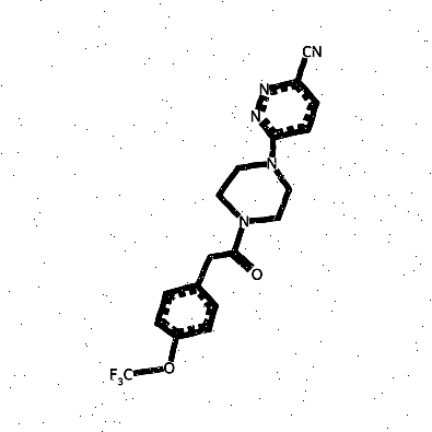 N#Cc1ccc(N2CCN(C(=O)Cc3ccc(OC(F)(F)F)cc3)CC2)nn1